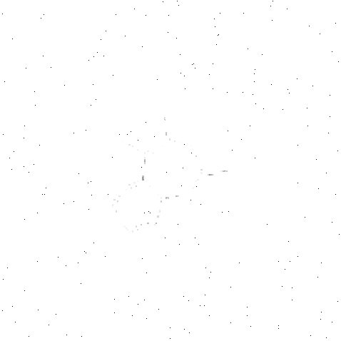 C=C1CC(I)=C(CC)C2=S=CC=CC2C1